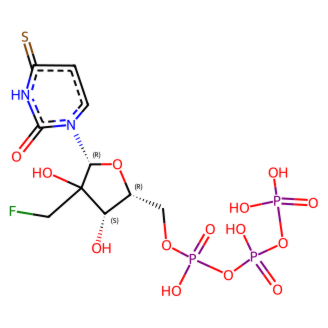 O=c1[nH]c(=S)ccn1[C@@H]1O[C@H](COP(=O)(O)OP(=O)(O)OP(=O)(O)O)[C@H](O)C1(O)CF